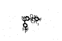 CN(C(=O)c1ccc(F)cn1)c1ccn2ncc(-c3ccc(C(F)(F)F)cc3)c2c1